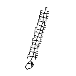 FC(F)(F)C(F)(F)C(F)(F)C(F)(F)C(F)(F)C(F)(F)C(F)(F)C(F)(F)C(F)(F)C(F)(F)C(F)(F)C(F)(F)C1=CC2CCC1C2